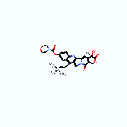 CC[C@@]1(O)C(=O)OCc2c1cc1n(c2=O)Cc2c-1nc1ccc(OC(=O)N3CCOCC3)cc1c2CC[Si](C)(C)C